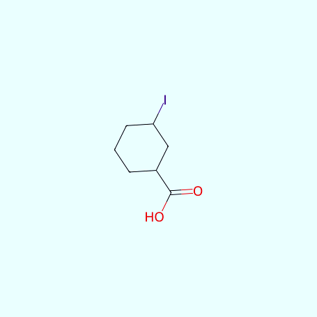 O=C(O)C1CCCC(I)C1